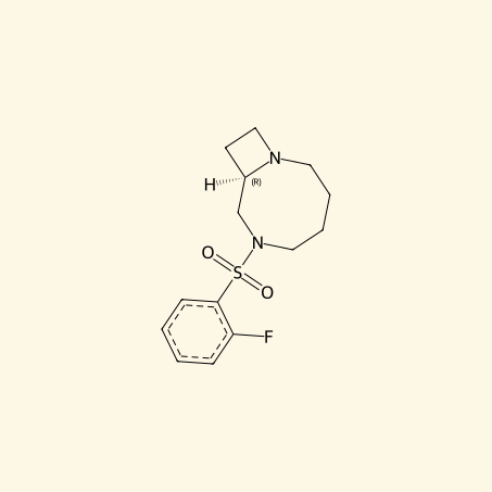 O=S(=O)(c1ccccc1F)N1CCCCN2CC[C@@H]2C1